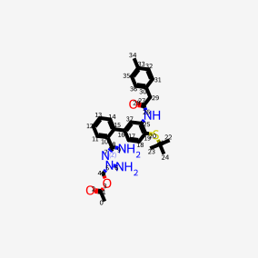 CC(=O)OCN(N)/N=C(\N)c1ccccc1-c1ccc(SC(C)(C)C)c(NC(=O)Cc2ccc(C)cc2)c1